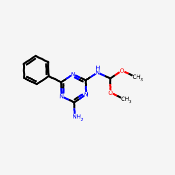 COC(Nc1nc(N)nc(-c2ccccc2)n1)OC